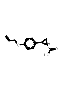 C=CCOc1ccc(C2C[C@@H]2C(=O)O)cc1